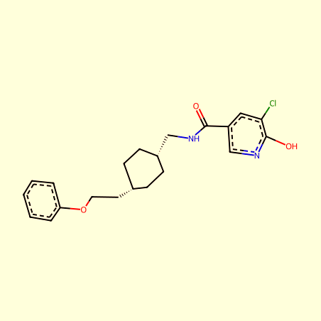 O=C(NC[C@H]1CC[C@@H](CCOc2ccccc2)CC1)c1cnc(O)c(Cl)c1